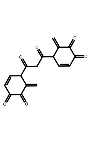 C=C1C(=O)C(=O)C=CC1C(=O)CC(=O)C1C=CC(=O)C(=O)C1=C